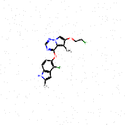 Cc1cc2c(F)c(Oc3ncnn4cc(OCCF)c(C)c34)ccc2[nH]1